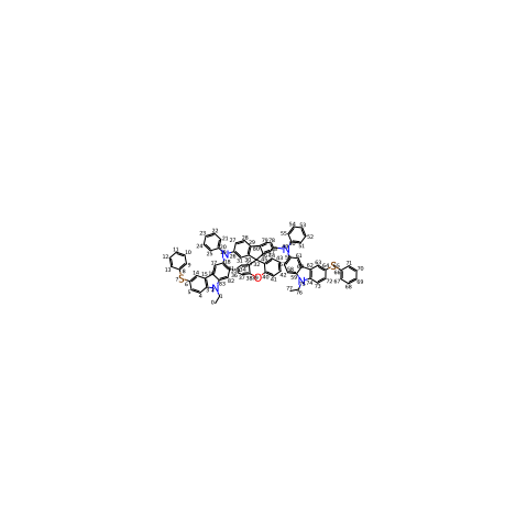 CCn1c2ccc(Sc3ccccc3)cc2c2cc(N(c3ccccc3)c3ccc4c(c3)C3(c5ccccc5Oc5ccccc53)c3cc(N(c5ccccc5)c5ccc6c(c5)c5cc(Sc7ccccc7)ccc5n6CC)ccc3-4)ccc21